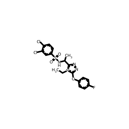 CCn1c(Oc2ccc(F)cc2)nnc1C(C)NS(=O)(=O)c1ccc(Cl)c(Cl)c1